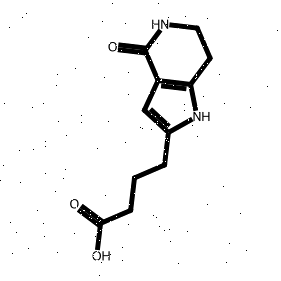 O=C(O)CCCc1cc2c([nH]1)CCNC2=O